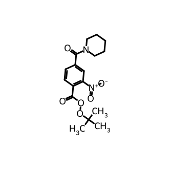 CC(C)(C)OOC(=O)c1ccc(C(=O)N2CCCCC2)cc1[N+](=O)[O-]